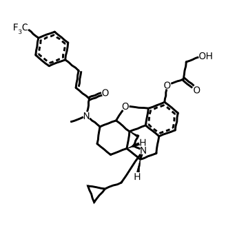 CN(C(=O)/C=C/c1ccc(C(F)(F)F)cc1)C1CC[C@H]2[C@H]3Cc4ccc(OC(=O)CO)c5c4[C@@]2(CCN3CC2CC2)C1O5